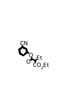 CCOC(=O)C(CC)C(=O)Oc1cccc(C#N)c1